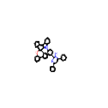 C1=C(c2ccccc2)NC(c2ccc(-n3c4ccccc4c4c5ccccc5c5c(c43)-c3ccccc3-c3ccccc3O5)cc2)N=C1c1ccccc1